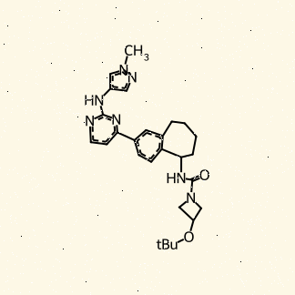 Cn1cc(Nc2nccc(-c3ccc4c(c3)CCCCC4NC(=O)N3CC(OC(C)(C)C)C3)n2)cn1